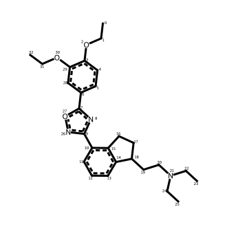 CCOc1ccc(-c2nc(-c3cccc4c3CCC4CCN(CC)CC)no2)cc1OCC